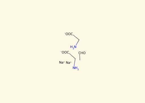 CC=O.NCC(=O)[O-].NCC(=O)[O-].[Na+].[Na+]